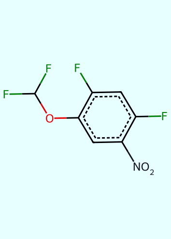 O=[N+]([O-])c1cc(OC(F)F)c(F)cc1F